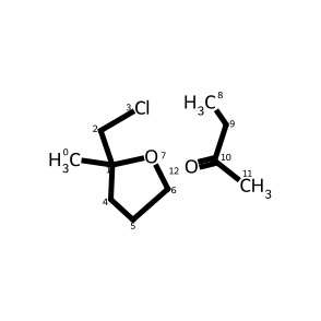 CC1(CCl)CCCO1.CCC(C)=O